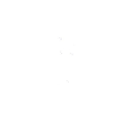 O=C(NCCCCC1NC(=O)C2(CCN(CCCc3ccccc3)CC2)N(Cc2ccco2)C1=O)OCc1ccccc1